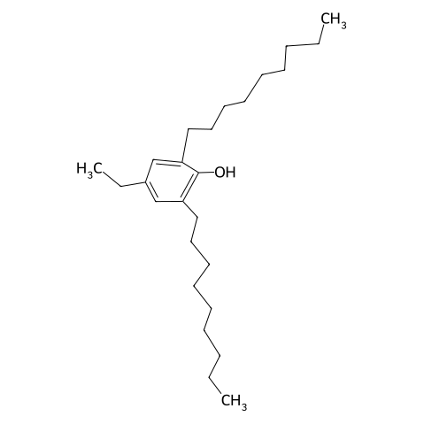 CCCCCCCCCc1cc(CC)cc(CCCCCCCCC)c1O